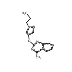 CCCn1cc(Oc2nc(C)c3ccncc3n2)cn1